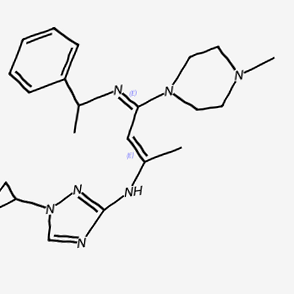 C/C(=C\C(=N/C(C)c1ccccc1)N1CCN(C)CC1)Nc1ncn(C2CC2)n1